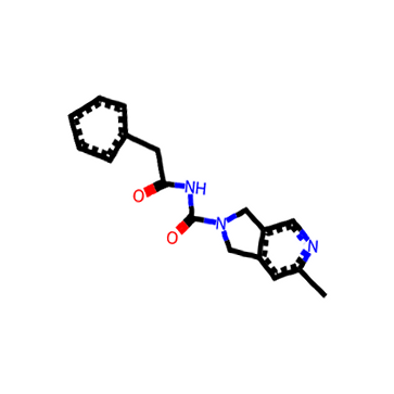 Cc1cc2c(cn1)CN(C(=O)NC(=O)Cc1ccccc1)C2